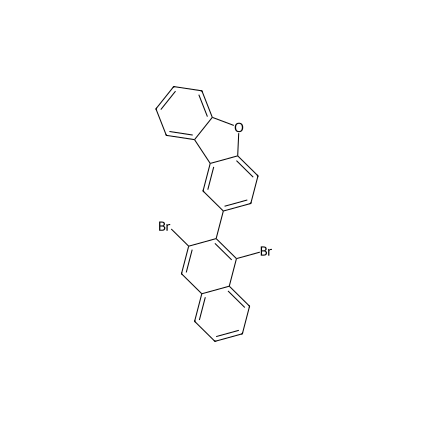 Brc1cc2ccccc2c(Br)c1-c1ccc2oc3ccccc3c2c1